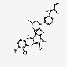 C=CC(=O)Nc1cccc(N2CC(C)Cn3c2nc2c3c(=O)n(Cc3cccc(F)c3Cl)c(=O)n2C)c1